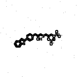 O=[N+]([O-])OCC(CSC[C@@H](O)CN1CC=C(c2cc3ccccc3s2)CC1)O[N+](=O)[O-]